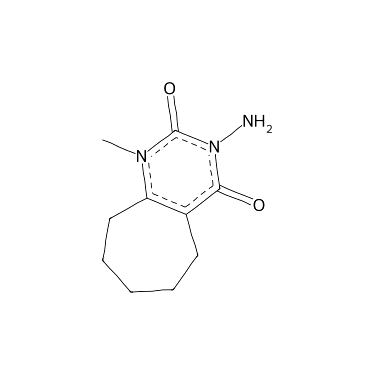 Cn1c2c(c(=O)n(N)c1=O)CCCCC2